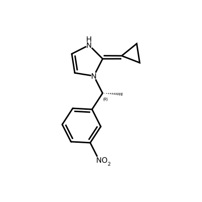 C[C@H](c1cccc([N+](=O)[O-])c1)N1C=CNC1=C1CC1